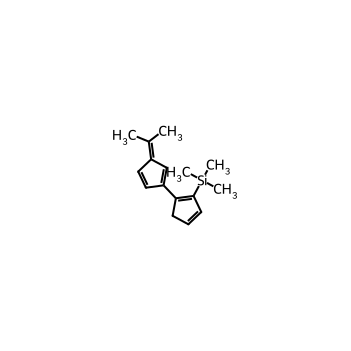 CC(C)=C1C=CC(C2=C([Si](C)(C)C)C=CC2)=C1